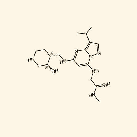 CNC(=N)CNc1cc(NC[C@H]2CCNC[C@@H]2O)nc2c(C(C)C)cnn12